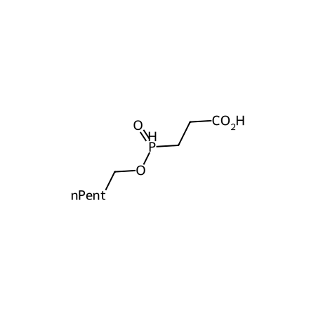 CCCCCCO[PH](=O)CCC(=O)O